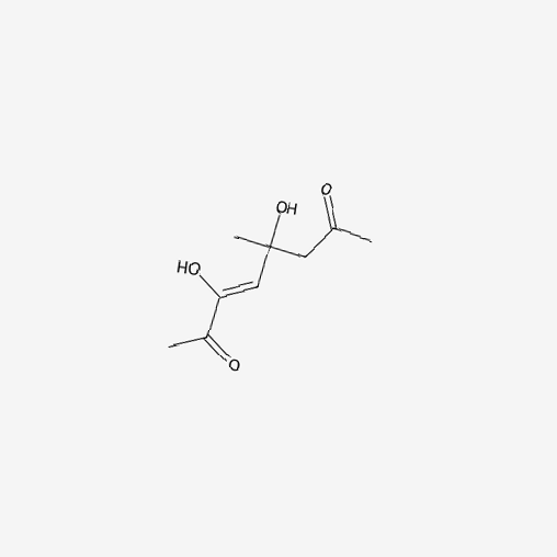 CC(=O)CC(C)(O)/C=C(\O)C(C)=O